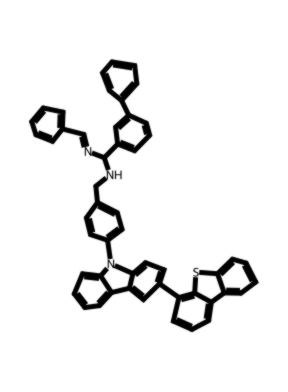 C(=N\C(NCc1ccc(-n2c3ccccc3c3cc(-c4cccc5c4sc4ccccc45)ccc32)cc1)c1cccc(-c2ccccc2)c1)/c1ccccc1